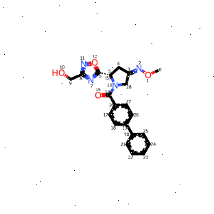 CON=C1C[C@@H](c2nc(CO)no2)N(C(=O)c2ccc(-c3ccccc3)cc2)C1